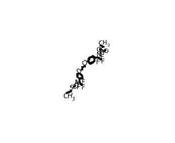 CCCSO/N=C(/c1ccc(OCCCOc2ccc(/C(=N/OS(=O)(=O)CCC)C(F)(F)F)cc2)cc1)C(F)(F)F